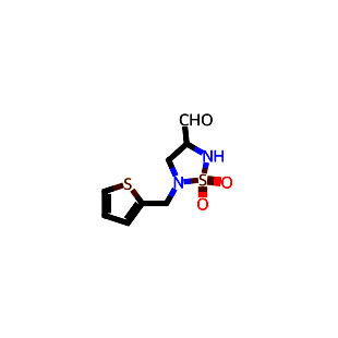 O=CC1CN(Cc2cccs2)S(=O)(=O)N1